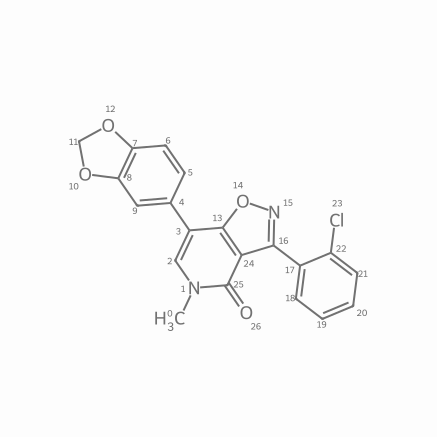 Cn1cc(-c2ccc3c(c2)OCO3)c2onc(-c3ccccc3Cl)c2c1=O